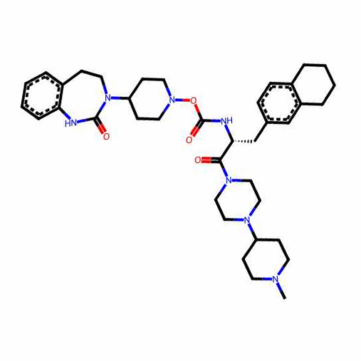 CN1CCC(N2CCN(C(=O)[C@@H](Cc3ccc4c(c3)CCCC4)NC(=O)ON3CCC(N4CCc5ccccc5NC4=O)CC3)CC2)CC1